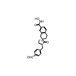 O=Cc1ccc(CN2CC[C@]3(CCc4ccc(C(=O)NO)cc4C3)C2=O)cc1